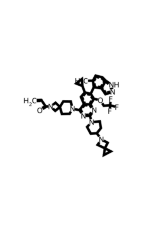 C=CC(=O)N1CC2(CCN(c3nc(N4CCC(N5CC6(CC6)C5)CC4)nc4c(OCC(F)(F)F)c(-c5c(C)ccc6[nH]ncc56)c(C5CC5)cc34)CC2)C1